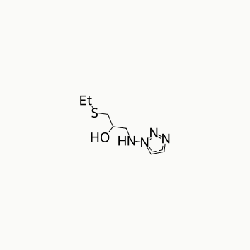 CCSCC(O)CNn1ccnn1